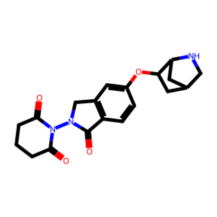 O=C1c2ccc(OC3CC4CNC3C4)cc2CN1N1C(=O)CCCC1=O